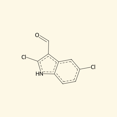 O=Cc1c(Cl)[nH]c2ccc(Cl)cc12